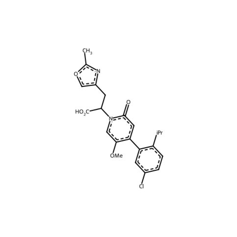 COc1cn(C(Cc2coc(C)n2)C(=O)O)c(=O)cc1-c1cc(Cl)ccc1C(C)C